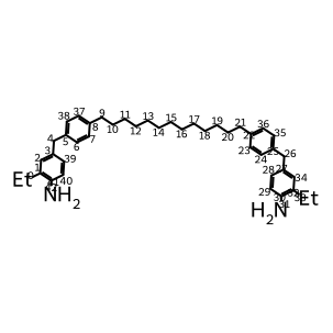 CCc1cc(Cc2ccc(CCCCCCCCCCCCCc3ccc(Cc4ccc(N)c(CC)c4)cc3)cc2)ccc1N